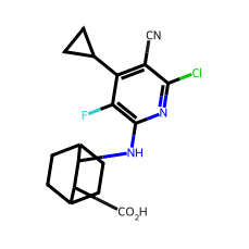 N#Cc1c(Cl)nc(NC2C3CCC(CC3)C2C(=O)O)c(F)c1C1CC1